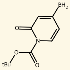 Bc1ccn(C(=O)OC(C)(C)C)c(=O)c1